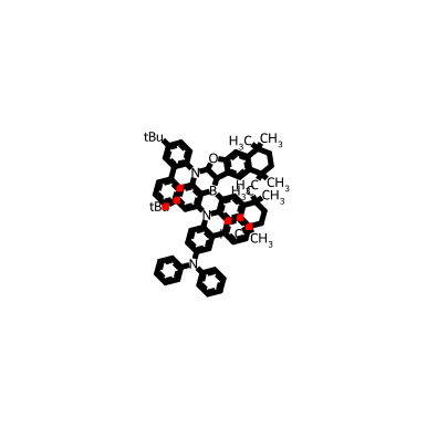 CC(C)(C)c1ccc(N2c3cc(C(C)(C)C)cc4c3B(c3cc5c(cc3N4c3ccc(N(c4ccccc4)c4ccccc4)cc3-c3ccccc3)C(C)(C)CCC5(C)C)C3c4cc5c(cc4OC32)C(C)(C)CCC5(C)C)c(-c2ccccc2)c1